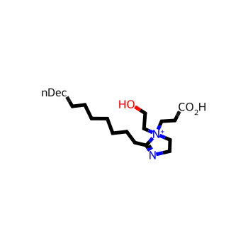 CCCCCCCCCCCCCCCCCC1=NCC[N+]1(CCO)CCC(=O)O